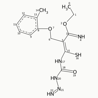 CCOC(=N)/C(COc1ccccc1C)=C(\S)NC(=O)NN=N